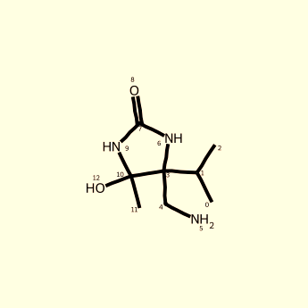 CC(C)C1(CN)NC(=O)NC1(C)O